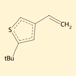 C=Cc1csc(C(C)(C)C)c1